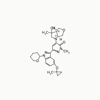 Cn1nc(-c2nn(C3CCCCO3)c3ccc(OC4(C)CC4)cc23)cc(N2CC(C)(C)[C@H]3COC[C@H]32)c1=O